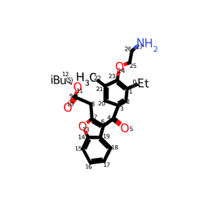 CCc1cc(C(=O)c2c(CC(=O)O[C@@H](C)CC)oc3ccccc23)cc(C)c1OCCN